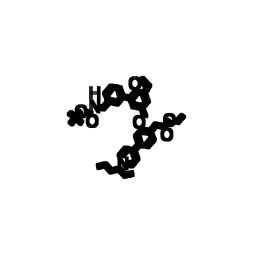 CCCCCC.CCOC(=O)Cc1ccc(-c2ccncc2)cc1OCc1cc(-c2cccc(CNC(=O)OC(C)(C)C)c2)c2occc2c1